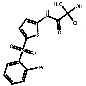 CC(C)c1ccccc1S(=O)(=O)c1ccc(NC(=O)C(C)(C)O)s1